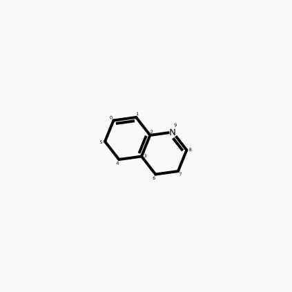 C1=CC2=C(CC1)CCC=N2